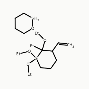 C1CC[SiH2]OC1.C=CC1CCC[Si](OCC)(OCC)C1(CC)OCC